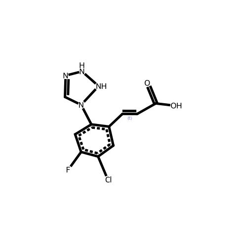 O=C(O)/C=C/c1cc(Cl)c(F)cc1N1C=NNN1